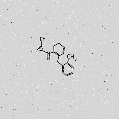 CCC1=CC1NC1=C(Cc2ccccc2C)C=CCC1